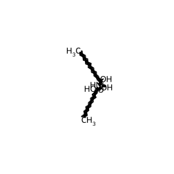 CCCCCCCCCCCCCCC[C@@H](O)[C@H](CO)NC(=O)C(O)CCCCCCCCCCCCC